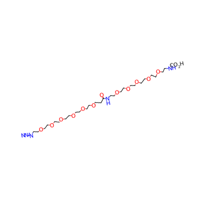 [N-]=[N+]=NCCOCCOCCOCCOCCOCCOCCC(=O)NCCOCCOCCOCCOCCOCCNC(=O)O